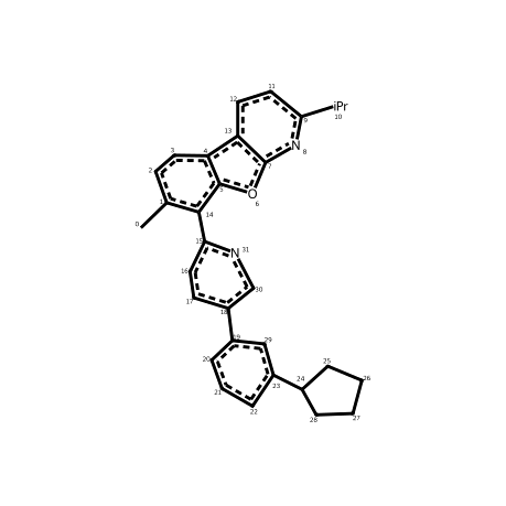 Cc1ccc2c(oc3nc(C(C)C)ccc32)c1-c1ccc(-c2cccc(C3CCCC3)c2)cn1